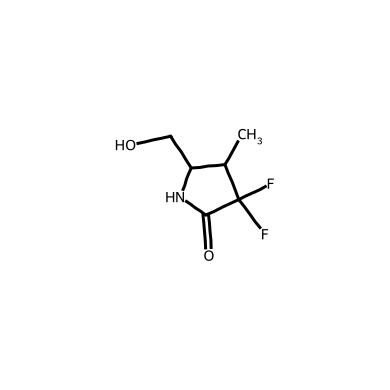 CC1C(CO)NC(=O)C1(F)F